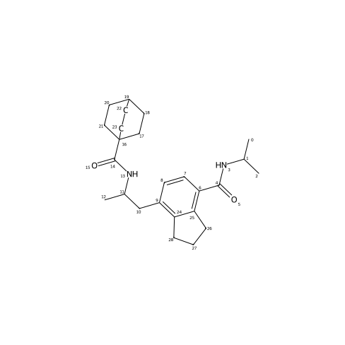 CC(C)NC(=O)c1ccc(CC(C)NC(=O)C23CCC(CC2)CC3)c2c1CCC2